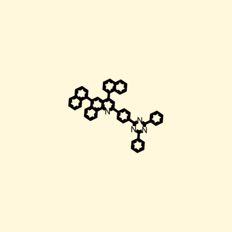 c1ccc(-c2nc(-c3ccccc3)nc(-c3ccc(-c4cc(-c5cccc6ccccc56)c5cc(-c6cccc7ccccc67)c6ccccc6c5n4)cc3)n2)cc1